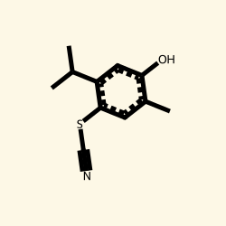 Cc1cc(SC#N)c(C(C)C)cc1O